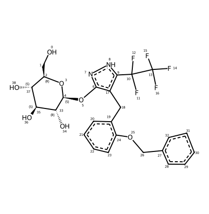 OC[C@H]1O[C@@H](Oc2n[nH]c(C(F)(F)C(F)(F)F)c2Cc2ccccc2OCc2ccccc2)[C@H](O)[C@@H](O)[C@@H]1O